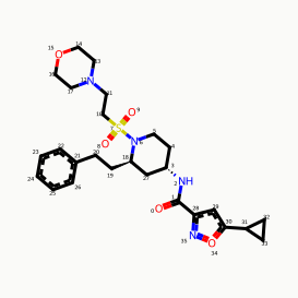 O=C(N[C@H]1CCN(S(=O)(=O)CCN2CCOCC2)[C@H](CCc2ccccc2)C1)c1cc(C2CC2)on1